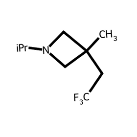 CC(C)N1CC(C)(CC(F)(F)F)C1